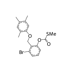 CSC(=O)Oc1cccc(Br)c1COc1cc(C)c(C)cc1C